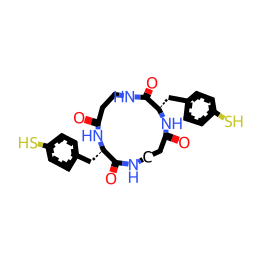 O=C1CCNC(=O)[C@H](Cc2ccc(S)cc2)NC(=O)CCNC(=O)[C@H](Cc2ccc(S)cc2)N1